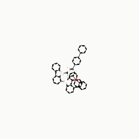 c1ccc(-c2ccc(-c3nc(-c4ccccc4)nc(-n4c5ccccc5c5cccc(-n6c7cccc8c9ccccc9c9cccc6c9c87)c54)n3)cc2)cc1